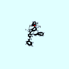 Cn1nc(-c2ccc(OCc3ccccc3)nc2OCc2ccccc2)c2cccc(C3=C[C@@H]4CC[C@H](C3)N4C(=O)O)c21